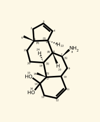 C[C@@]12CC=C[C@H]1[C@@H]1[C@@H](N)CC3C=CCC(O)(O)[C@]3(C)[C@H]1CC2